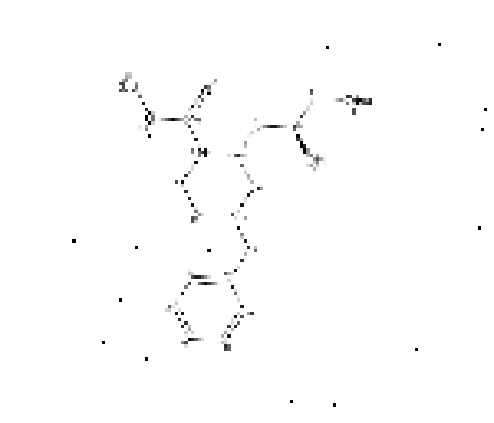 COC[C@@H](O)C[C@@H]1CN(Cc2ccccc2)CCN1C(=O)OC(C)(C)C